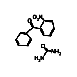 NC(N)=O.O=C(c1ccccc1)c1ccccc1[N+](=O)[O-]